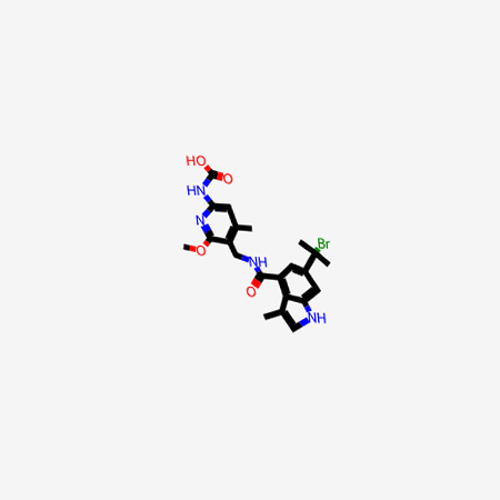 COc1nc(NC(=O)O)cc(C)c1CNC(=O)c1cc(C(C)(C)Br)cc2[nH]cc(C)c12